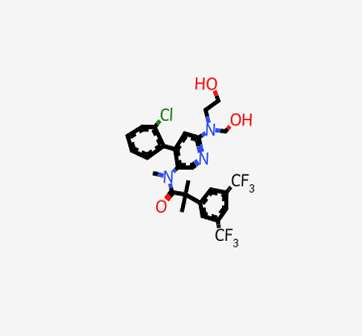 CN(C(=O)C(C)(C)c1cc(C(F)(F)F)cc(C(F)(F)F)c1)c1cnc(N(CO)CCO)cc1-c1ccccc1Cl